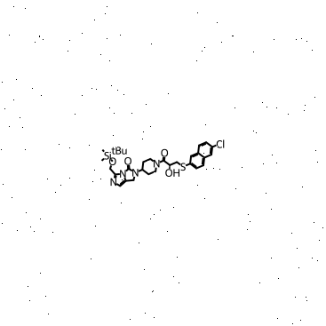 CC(C)(C)[Si](C)(C)OCc1ncc2n1C(=O)N(C1CCN(C(=O)[C@H](O)CSc3ccc4cc(Cl)ccc4c3)CC1)C2